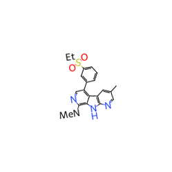 CCS(=O)(=O)c1cccc(-c2cnc(NC)c3[nH]c4ncc(C)cc4c23)c1